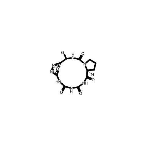 CCC1NC(=O)N2CCC[C@H]2C(=O)NC(=O)NC(=O)Nc2nnc1o2